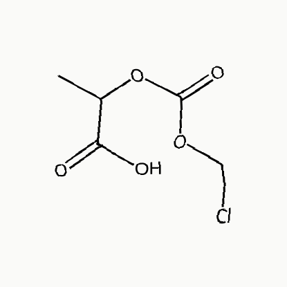 CC(OC(=O)OCCl)C(=O)O